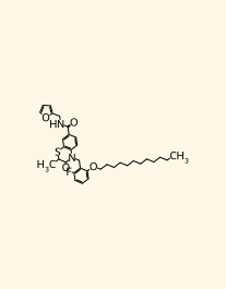 CCCCCCCCCCCCOc1cccc(F)c1CN1C(=O)C(C)Sc2cc(C(=O)NCc3ccco3)ccc21